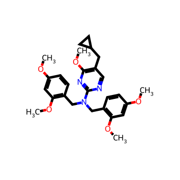 COc1ccc(CN(Cc2ccc(OC)cc2OC)c2ncc(CC3CC3)c(OC)n2)c(OC)c1